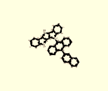 c1ccc2cc(-c3c4ccccc4c(-n4c5ccccc5c5sc6c7ccccc7sc6c54)c4ccccc34)ccc2c1